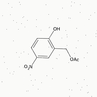 CC(=O)OCc1cc([N+](=O)[O-])ccc1O